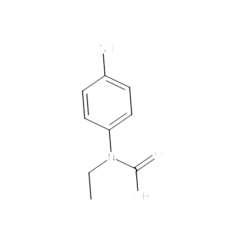 CCN(C(=O)O)c1ccc(N)cc1